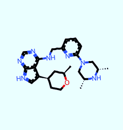 C[C@@H]1CN(c2cccc(CNc3ncnc4[nH]cc([C@@H]5CCO[C@H](C)C5)c34)n2)C[C@H](C)N1